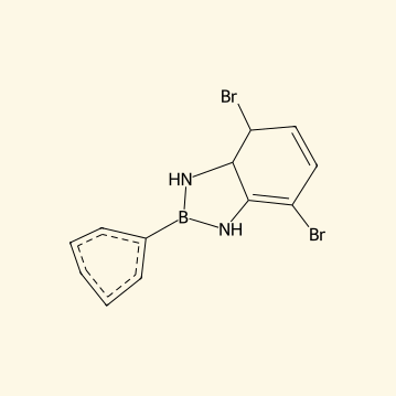 BrC1=C2NB(c3ccccc3)NC2C(Br)C=C1